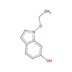 CCOn1ccc2ccc(O)cc21